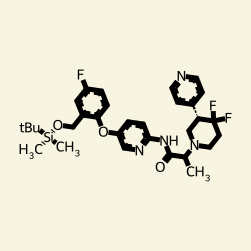 CC(C(=O)Nc1ccc(Oc2ccc(F)cc2CO[Si](C)(C)C(C)(C)C)cn1)N1CCC(F)(F)[C@@H](c2ccncc2)C1